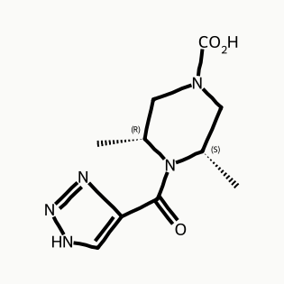 C[C@@H]1CN(C(=O)O)C[C@H](C)N1C(=O)c1c[nH]nn1